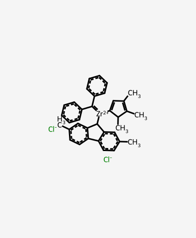 CC1=C(C)C(C)[C]([Zr+2](=[C](c2ccccc2)c2ccccc2)[CH]2c3cc(C)ccc3-c3ccc(C)cc32)=C1.[Cl-].[Cl-]